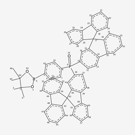 CC1(C)OB(c2ccc(P(=O)(c3ccc4c(c3)C3(c5ccccc5-c5ccccc53)c3ccccc3-4)c3ccc4c(c3)C3(c5ccccc5-c5ccccc53)c3ccccc3-4)cc2)OC1(C)C